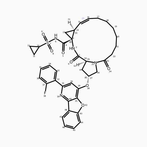 O=C1N[C@]2(C(=O)NS(=O)(=O)C3CC3)C[C@H]2/C=C\CCCCCCC(=O)N2C[C@H](Oc3cc(-c4ccccc4F)nc4c3oc3ccccc34)C[C@@H]12